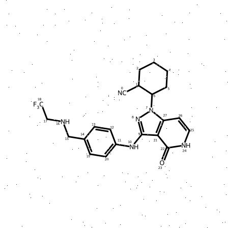 N#CC1CCCCC1n1nc(Nc2ccc(CNCC(F)(F)F)cc2)c2c(=O)[nH]ccc21